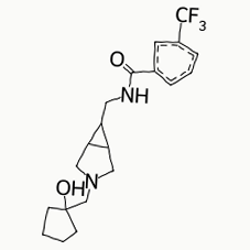 O=C(NCC1C2CN(CC3(O)CCCC3)CC12)c1cccc(C(F)(F)F)c1